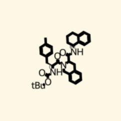 Cc1ccc(C[C@H](NC(=O)OC(C)(C)C)C(=O)N2Cc3ccccc3CC2C(=O)N[C@@H]2CCCc3ccccc32)cc1